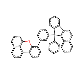 c1ccc(C2(c3cccc(-c4cccc5c4Oc4cccc6cccc-5c46)c3)c3ccccc3-c3ccc4ccccc4c32)cc1